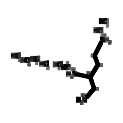 Cl.Cl.Cl.Cl.Cl.Cl.Cl.Cl.NCCC(N)CN